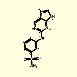 NS(=O)(=O)c1cccc(Nc2ncc3nc[nH]c3n2)c1